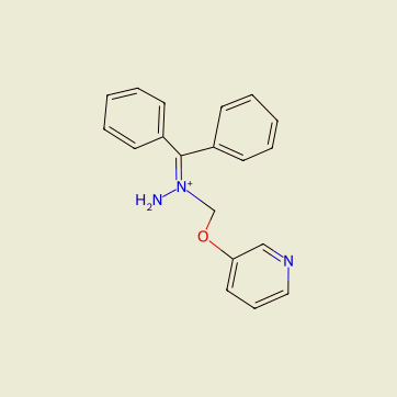 N[N+](COc1cccnc1)=C(c1ccccc1)c1ccccc1